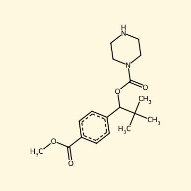 COC(=O)c1ccc(C(OC(=O)N2CCNCC2)C(C)(C)C)cc1